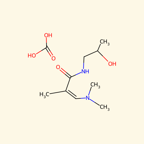 CC(=CN(C)C)C(=O)NCC(C)O.O=C(O)O